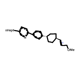 CCCCCCCc1ccc(-c2ccc([C@H]3CC[C@H](/C=C/COC)CC3)cc2)nc1